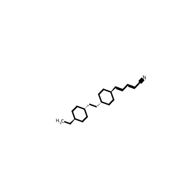 CC[C@H]1CC[C@H](CC[C@H]2CC[C@H](C=CC=CC#N)CC2)CC1